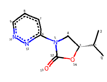 CC(C)[C@H]1CN(c2cccnn2)C(=O)O1